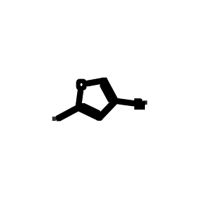 [CH2]c1cc(Br)co1